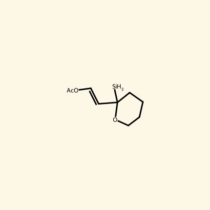 CC(=O)OC=CC1([SiH3])CCCCO1